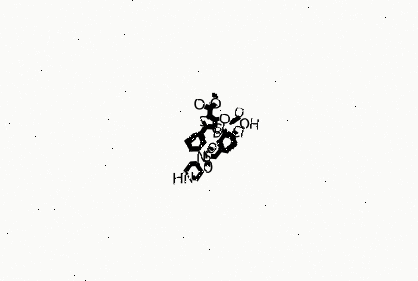 COC(=O)c1sc(-c2cccc(N(C3CCNCC3)S(=O)(=O)Cc3ccc(Cl)c(Cl)c3)c2)c(Br)c1OCC(=O)O